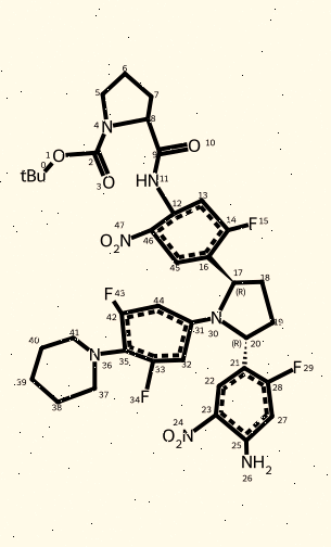 CC(C)(C)OC(=O)N1CCCC1C(=O)Nc1cc(F)c([C@H]2CC[C@H](c3cc([N+](=O)[O-])c(N)cc3F)N2c2cc(F)c(N3CCCCC3)c(F)c2)cc1[N+](=O)[O-]